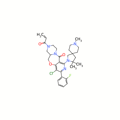 C=CC(=O)N1CCN2C(=O)c3c(N4CC5(CCN(C)CC5)CC4(C)C)nc(-c4ccccc4F)c(Cl)c3OCC2C1